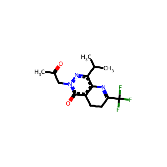 CC(=O)Cn1nc(C(C)C)c2c(c1=O)CCC(C(F)(F)F)=N2